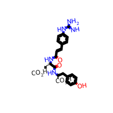 N=C(N)Nc1ccc(C=CC(=O)N[C@@H](CC(=O)O)C(=O)N[C@@H](Cc2ccc(O)cc2)C(=O)O)cc1